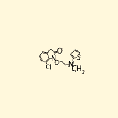 CN(CCON1C(=O)Cc2cccc(Cl)c21)c1cccs1